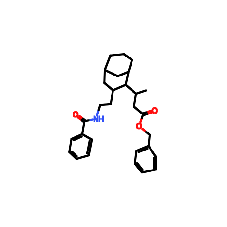 CC(CC(=O)OCc1ccccc1)C1C2CCCC(C2)CC1CCNC(=O)c1ccccc1